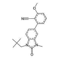 COc1cccc(-c2ccc3c(c2)n(C)c(=O)n3CC(C)(C)C)c1C#N